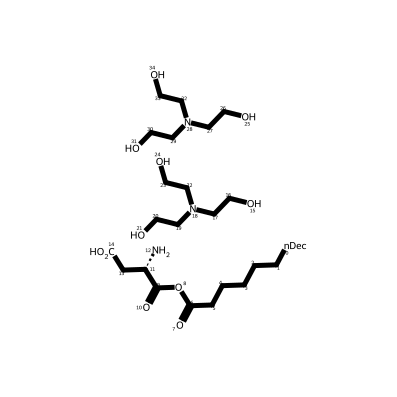 CCCCCCCCCCCCCCCC(=O)OC(=O)[C@@H](N)CC(=O)O.OCCN(CCO)CCO.OCCN(CCO)CCO